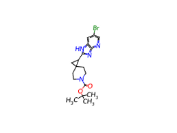 CC(C)(C)OC(=O)N1CCC2(CC1)CC2c1nc2ncc(Br)cc2[nH]1